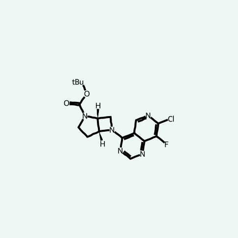 CC(C)(C)OC(=O)N1CC[C@@H]2[C@H]1CN2c1ncnc2c(F)c(Cl)ncc12